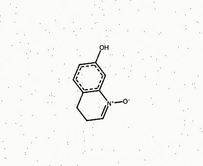 [O-][N+]1=CCCc2ccc(O)cc21